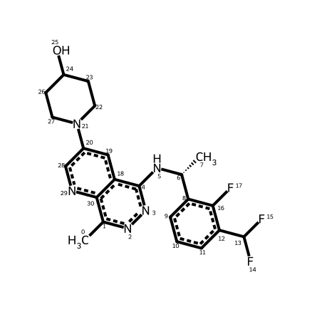 Cc1nnc(N[C@H](C)c2cccc(C(F)F)c2F)c2cc(N3CCC(O)CC3)cnc12